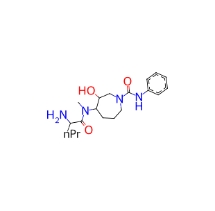 CCCC(N)C(=O)N(C)C1CCCN(C(=O)Nc2ccccc2)CC1O